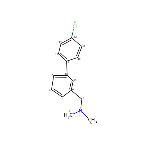 CN(C)Cc1cccc(-c2ccc(Cl)cc2)c1